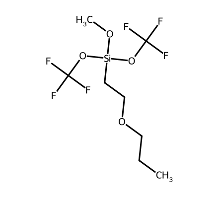 CCCOCC[Si](OC)(OC(F)(F)F)OC(F)(F)F